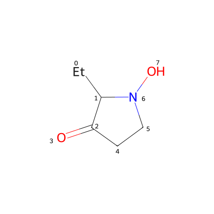 CCC1C(=O)CCN1O